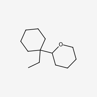 CCC1(C2CCCCO2)CCCCC1